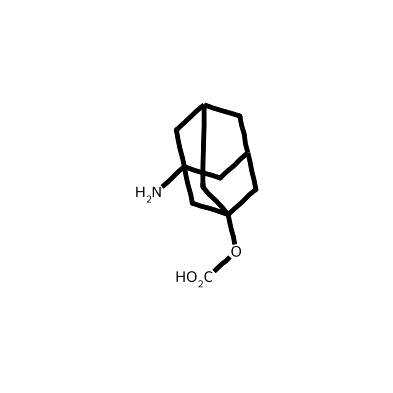 NC12CC3CC(C1)CC(OC(=O)O)(C3)C2